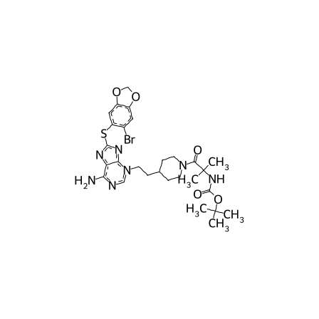 CC(C)(C)OC(=O)NC(C)(C)C(=O)N1CCC(CCn2cnc(N)c3nc(Sc4cc5c(cc4Br)OCO5)nc2-3)CC1